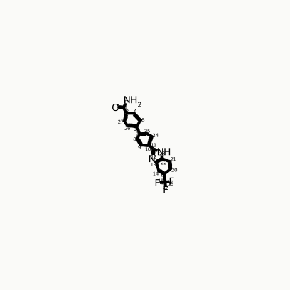 NC(=O)c1ccc(-c2ccc(-c3nc4cc(C(F)(F)F)ccc4[nH]3)cc2)cc1